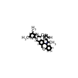 CCc1nc2c(C)cc(C)nc2n1Cc1ccc2c(c1)COc1ccccc1/C2=C(\C)c1nnn[nH]1